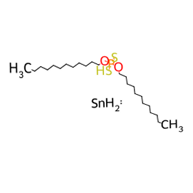 CCCCCCCCCCCCOP(=S)(S)OCCCCCCCCCCCC.[SnH2]